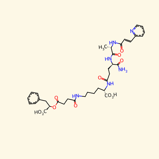 C[C@H](NC(=O)/C=C/c1ccccn1)C(=O)N[C@H](CCC(=O)N[C@@H](CCCCNC(=O)CCC(=O)O[C@H](Cc1ccccc1)C(=O)O)C(=O)O)C(N)=O